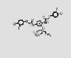 CC[Si](CC)(CC)OC1=CC2(NC(=O)COc3ccc(Cl)c(F)c3)CCC1(NC(=O)COc1ccc(Cl)c(F)c1)CC2